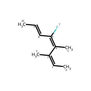 C\C=C(C)/C(C)=C(F)\C=C\C